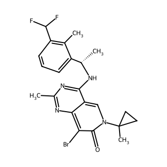 Cc1nc(N[C@@H](C)c2cccc(C(F)F)c2C)c2cn(C3(C)CC3)c(=O)c(Br)c2n1